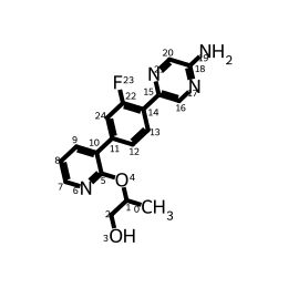 CC(CO)Oc1ncccc1-c1ccc(-c2cnc(N)cn2)c(F)c1